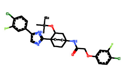 CC(C)(C)[Si](C)(C)OC1CC2(NC(=O)COc3ccc(Cl)c(F)c3)CCC1(c1ncc(-c3ccc(Cl)c(F)c3)[nH]1)CC2